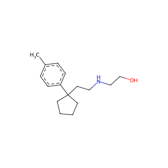 Cc1ccc(C2(CCNCCO)CCCC2)cc1